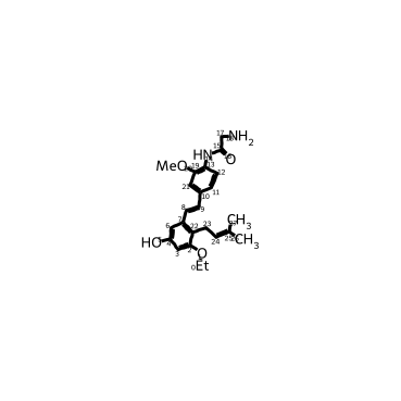 CCOc1cc(O)cc(C=Cc2ccc(NC(=O)CN)c(OC)c2)c1CC=C(C)C